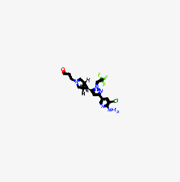 Nc1ncc(-c2cc([C@H]3[C@@H]4CN(CCC=O)C[C@@H]43)n(CC(F)(F)F)n2)cc1Cl